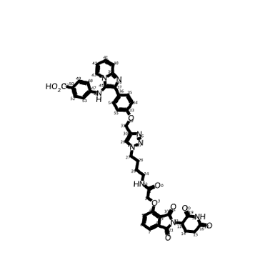 O=C(COc1cccc2c1C(=O)N(C1CCC(=O)NC1=O)C2=O)NCCCCn1cc(COc2ccc(-c3nc4ccccn4c3Nc3ccc(C(=O)O)cc3)cc2)nn1